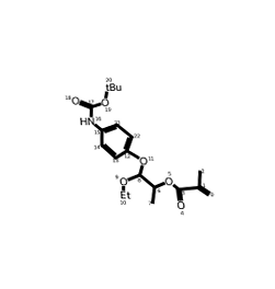 C=C(C)C(=O)OC(C)C(OCC)Oc1ccc(NC(=O)OC(C)(C)C)cc1